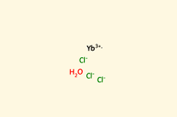 O.[Cl-].[Cl-].[Cl-].[Yb+3]